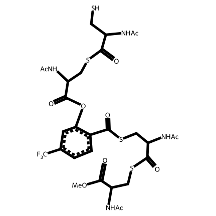 COC(=O)C(CSC(=O)C(CSC(=O)c1ccc(C(F)(F)F)cc1OC(=O)C(CSC(=O)C(CS)NC(C)=O)NC(C)=O)NC(C)=O)NC(C)=O